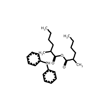 CCCCC(C)C(=O)OC(=O)C(C)CCCC.c1ccc(Pc2ccccc2)cc1